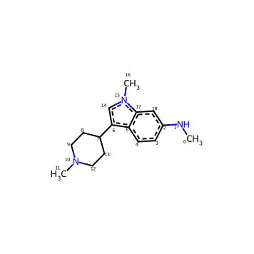 CNc1ccc2c(C3CCN(C)CC3)cn(C)c2c1